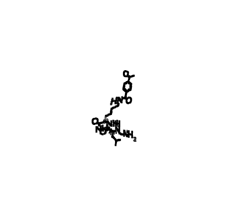 CC(=O)c1ccc(C(=O)NCCCC[C@H](NC(=O)[C@H](CC(C)C)NCN)C(N)=O)cc1